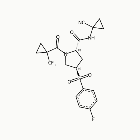 N#CC1(NC(=O)[C@@H]2C[C@@H](S(=O)(=O)c3ccc(F)cc3)CN2C(=O)C2(C(F)(F)F)CC2)CC1